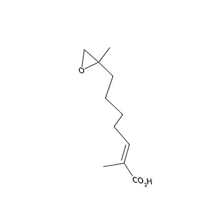 CC(=CCCCCC1(C)CO1)C(=O)O